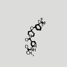 CC(=O)Nc1cc(C(=O)N2CCC(Oc3cccc(OC(F)(F)F)c3)CC2)ccn1